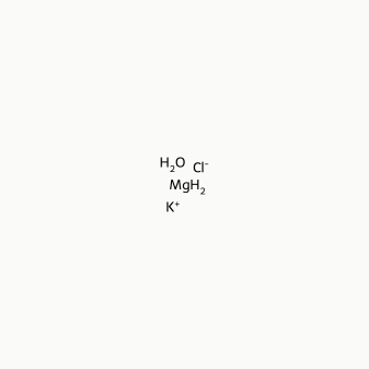 O.[Cl-].[K+].[MgH2]